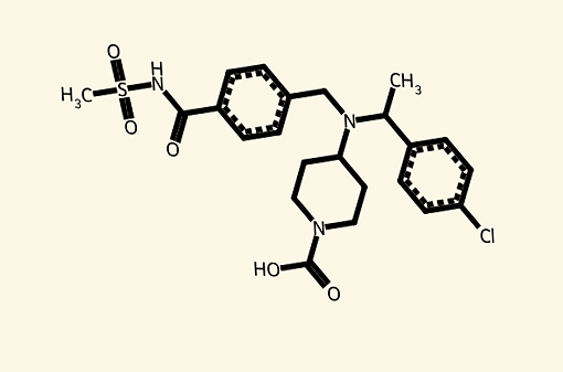 CC(c1ccc(Cl)cc1)N(Cc1ccc(C(=O)NS(C)(=O)=O)cc1)C1CCN(C(=O)O)CC1